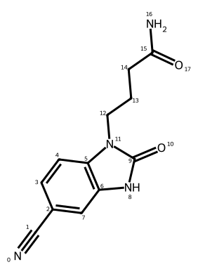 N#Cc1ccc2c(c1)[nH]c(=O)n2CCCC(N)=O